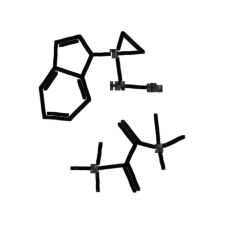 C=C(C(=C)[Si](C)(C)C)[Si](C)(C)C.CC(C)(C)[NH][Ti]1([CH]2C=Cc3ccccc32)[CH2][CH2]1